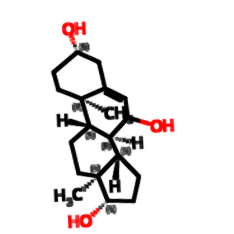 C[C@]12CC[C@H]3[C@@H](C(O)C=C4C[C@@H](O)CC[C@@]43C)[C@@H]1CC[C@@H]2O